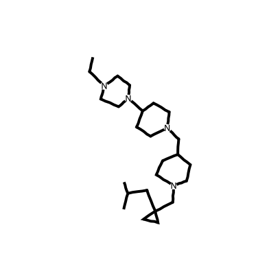 CCN1CCN(C2CCN(CC3CCN(CC4(CC(C)C)CC4)CC3)CC2)CC1